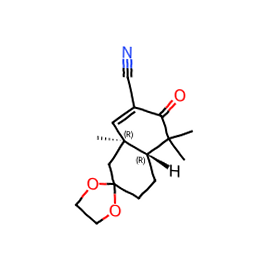 CC1(C)C(=O)C(C#N)=C[C@]2(C)CC3(CC[C@@H]12)OCCO3